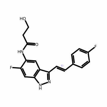 O=C(CCO)Nc1cc2c(/C=C/c3ccc(F)cc3)n[nH]c2cc1F